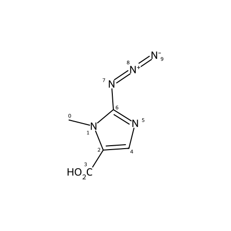 Cn1c(C(=O)O)cnc1N=[N+]=[N-]